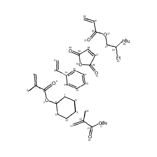 C=C(C)C(=O)OC1CCCCC1.C=C(C)C(=O)OCC(C)C.C=CC(=O)OCC(CC)CCCC.C=Cc1ccccc1.O=C1C=CC(=O)O1